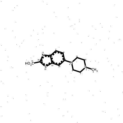 CN1CCN(c2ccc3nc(C(=O)O)sc3c2)CC1